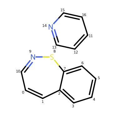 C1=Cc2ccccc2SN=C1.c1ccncc1